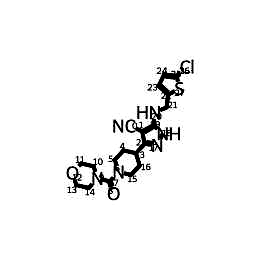 N#Cc1c(C2CCN(C(=O)N3CCOCC3)CC2)n[nH]c1NCc1ccc(Cl)s1